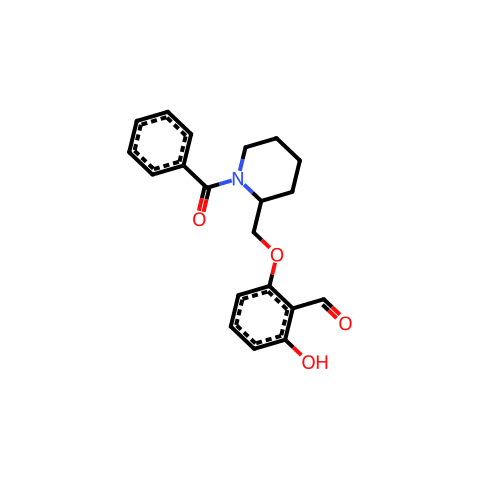 O=Cc1c(O)cccc1OCC1CCCCN1C(=O)c1ccccc1